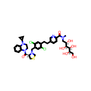 CN(C[C@H](O)[C@H](O)[C@@H](O)[C@H](O)CO)C(=O)c1ccc(CCc2cc(Cl)c(CN3CSC[C@H]3C(=O)N3CCN(C4CC4)c4ccccc43)cc2Cl)cn1